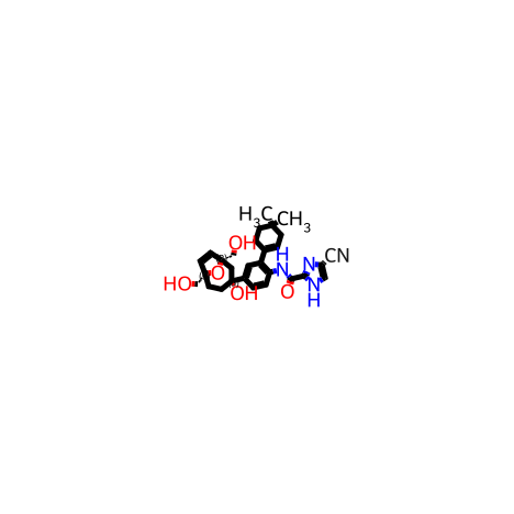 CC1(C)CC=C(c2cc([C@]3(O)CC[C@@]4(CO)C=C[C@@](CO)(C3)O4)ccc2NC(=O)c2nc(C#N)c[nH]2)CC1